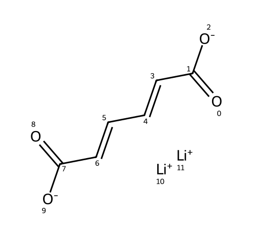 O=C([O-])C=CC=CC(=O)[O-].[Li+].[Li+]